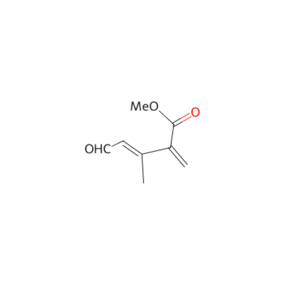 C=C(C(=O)OC)C(C)=CC=O